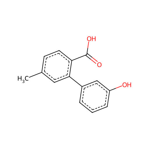 Cc1ccc(C(=O)O)c(-c2cccc(O)c2)c1